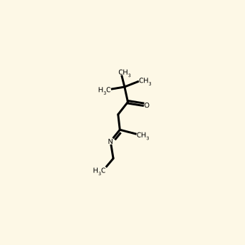 CC/N=C(\C)CC(=O)C(C)(C)C